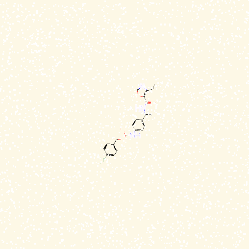 CCc1ncoc1C(=O)NC(C)c1ccc(NC(=O)OCc2ccc(Cl)cc2)cc1